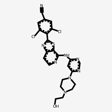 N#Cc1cc(Cl)c(-c2nc3ccnc(Nc4cc(N5CCN(CCO)CC5)ncn4)c3s2)c(Cl)c1